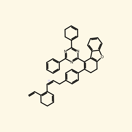 C=CC1=C(/C=C\Cc2ccc(C3=C(c4nc(C5=CC=CCC5)nc(-c5ccccc5)n4)c4c(oc5ccccc45)CC3)cc2)C=CCC1